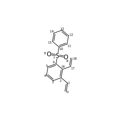 C=Cc1cccc(S(=O)(=O)c2ccccc2)c1C=C